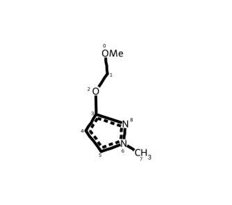 COCOc1c[c]n(C)n1